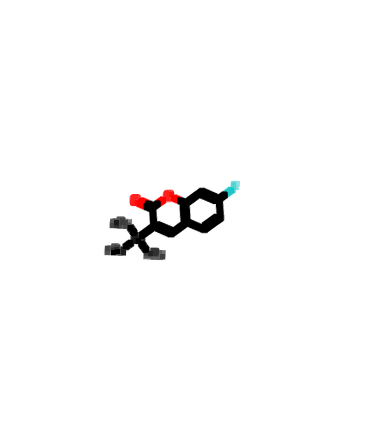 CCC[CH2][Sn]([CH2]CCC)([CH2]CCC)[c]1cc2ccc(F)cc2oc1=O